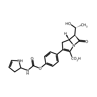 C[C@@H](O)[C@H]1C(=O)N2C(C(=O)O)=C(c3ccc(OC(=O)NC4CC=CN4)cc3)C[C@H]12